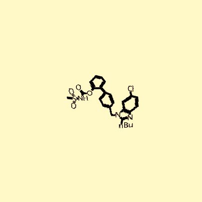 CCCCc1nc2ccc(Cl)cc2n1Cc1ccc(-c2ccccc2OC(=O)NS(C)(=O)=O)cc1